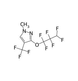 Cn1cc(C(F)(F)F)c(OC(F)(F)C(F)(F)C(F)F)n1